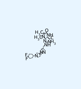 Cc1nc(NCc2cnn([C@H]3CCN(C4CCC(F)(F)CC4)C3)c2)nc2c1NC(=O)[C@H](C)N2C